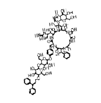 CCC(c1ccccc1)C1NC(=O)CNC(=O)C(CO)NC(=O)C(C(O)C2CNC(=N)N2C2OC(CO)C(O)C(O)C2O)NC(=O)C(C(O)C2CNC(=N)N2)NC(=O)C(Cc2ccc(OC3OC(CO)C(OC4OC(CO)C(OCC=C(c5ccccc5)c5ccccc5)C(O)C4O)C(O)C3O)cc2)NC1=O